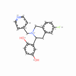 Oc1ccc(O)c(C2Cc3cc(F)ccc3CN2Cc2ccncc2)c1